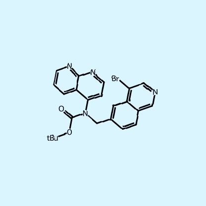 CC(C)(C)OC(=O)N(Cc1ccc2cncc(Br)c2c1)c1ccnc2ncccc12